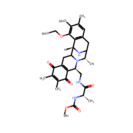 COCOc1c(OC)c(C)cc2c1[C@@H]1NC(C2)[C@H](C#N)N2C1CC1=C(C(=O)C(C)=C(C)C1=O)[C@@H]2CNC(=O)[C@H](C)NC(=O)OC(C)(C)C